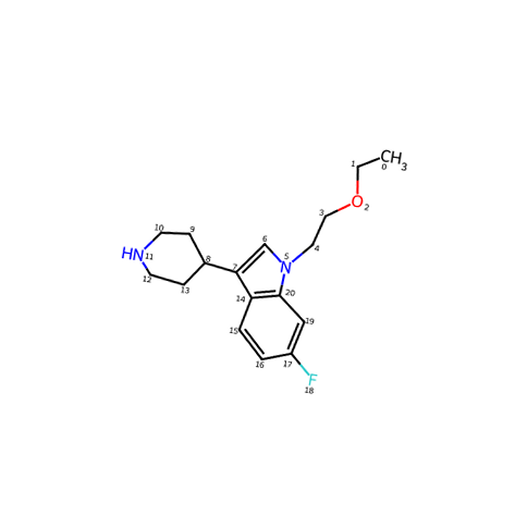 CCOCCn1cc(C2CCNCC2)c2ccc(F)cc21